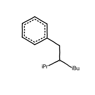 CCC(C)[C](Cc1ccccc1)C(C)C